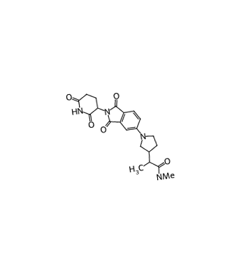 CNC(=O)C(C)C1CCN(c2ccc3c(c2)C(=O)N(C2CCC(=O)NC2=O)C3=O)C1